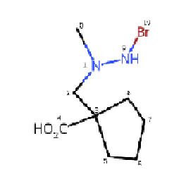 CN(CC1(C(=O)O)CCCC1)NBr